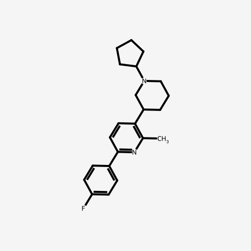 Cc1nc(-c2ccc(F)cc2)ccc1C1CCCN(C2CCCC2)C1